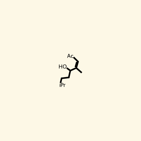 CC(=O)C=C(C)C(O)CCC(C)C